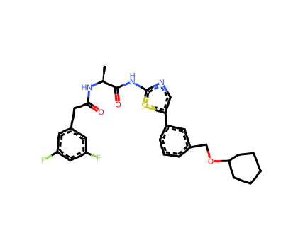 C[C@H](NC(=O)Cc1cc(F)cc(F)c1)C(=O)Nc1ncc(-c2cccc(COC3CCCCC3)c2)s1